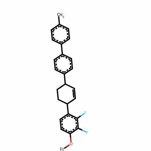 CCOc1ccc(C2C=CC(c3ccc(-c4ccc(C)cc4)cc3)CC2)c(F)c1F